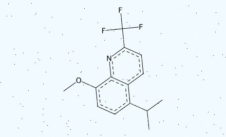 COc1ccc(C(C)C)c2ccc(C(F)(F)F)nc12